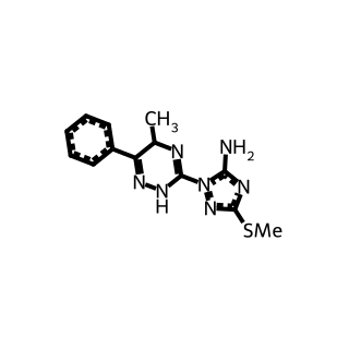 CSc1nc(N)n(C2=NC(C)C(c3ccccc3)=NN2)n1